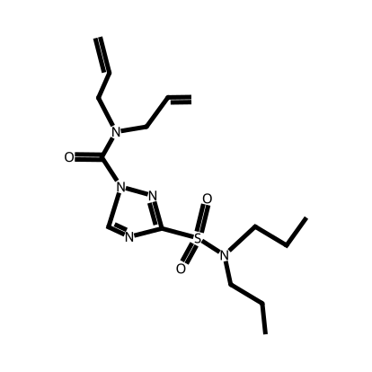 C=CCN(CC=C)C(=O)n1cnc(S(=O)(=O)N(CCC)CCC)n1